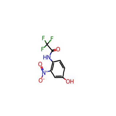 O=C(Nc1ccc(O)cc1[N+](=O)[O-])C(F)(F)F